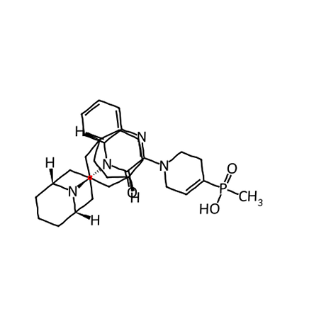 CP(=O)(O)C1=CCN(c2nc3ccccc3n([C@H]3C[C@H]4CCC[C@@H](C3)N4[C@H]3C[C@@H]4CCC[C@@H](CC4)C3)c2=O)CC1